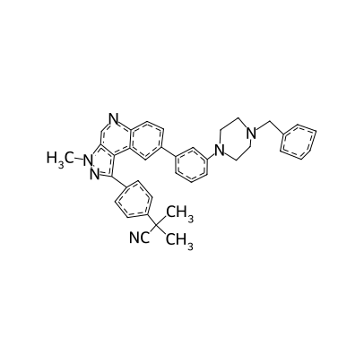 Cn1nc(-c2ccc(C(C)(C)C#N)cc2)c2c3cc(-c4cccc(N5CCN(Cc6ccccc6)CC5)c4)ccc3ncc21